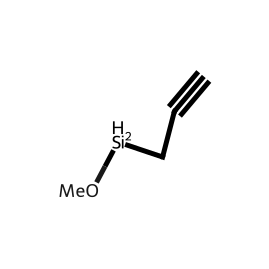 C#CC[SiH2]OC